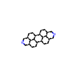 c1cc2c3ccc4cncc5ccc(c6ccc7cncc1c7c26)c3c45